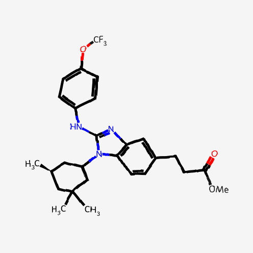 COC(=O)CCc1ccc2c(c1)nc(Nc1ccc(OC(F)(F)F)cc1)n2C1C[C@H](C)CC(C)(C)C1